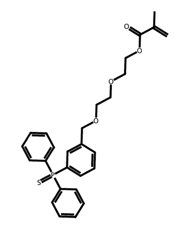 C=C(C)C(=O)OCCOCCOCc1cccc(P(=S)(c2ccccc2)c2ccccc2)c1